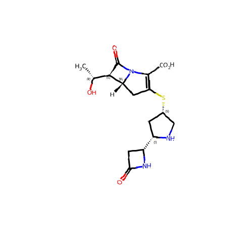 C[C@@H](O)[C@H]1C(=O)N2C(C(=O)O)=C(S[C@@H]3CN[C@H](C4CC(=O)N4)C3)C[C@H]12